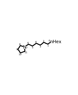 CCCCCCCCCCCCN1CCCC1